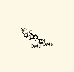 COc1cc(-c2ccc3c(n2)C(C)N(c2ccn(C[C@@H](C)O)n2)C3=O)cnc1OC